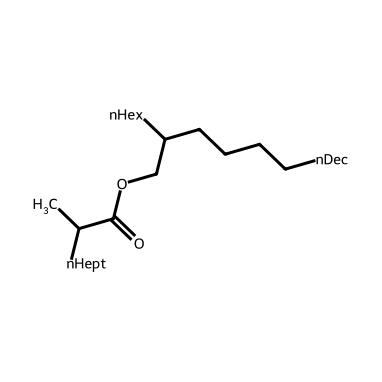 CCCCCCCCCCCCCCC(CCCCCC)COC(=O)C(C)CCCCCCC